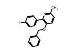 Cc1ccc(OCc2ccccc2)c(-c2ccc(F)cc2)n1